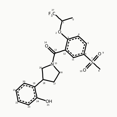 CC(Oc1ccc(S(C)(=O)=O)cc1C(=O)N1CCC(c2ccccc2O)C1)C(F)(F)F